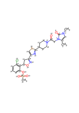 Cc1cn(C)c(=O)n1CC(=O)N1CCC(c2nc(C3=NOC(c4c(Cl)cccc4OS(C)(=O)=O)C3)cs2)CC1